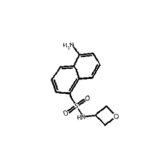 Nc1cccc2c(S(=O)(=O)NC3COC3)cccc12